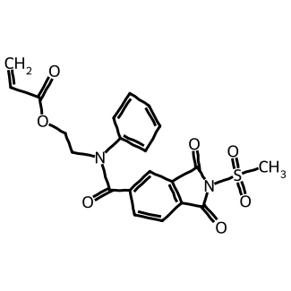 C=CC(=O)OCCN(C(=O)c1ccc2c(c1)C(=O)N(S(C)(=O)=O)C2=O)c1ccccc1